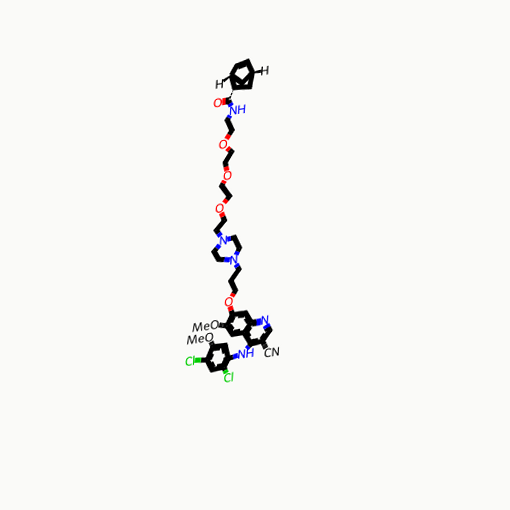 COc1cc(Nc2c(C#N)cnc3cc(OCCCN4CCN(CCOCCOCCOCCNC(=O)[C@H]5C[C@H]6C=C[C@@H]5C6)CC4)c(OC)cc23)c(Cl)cc1Cl